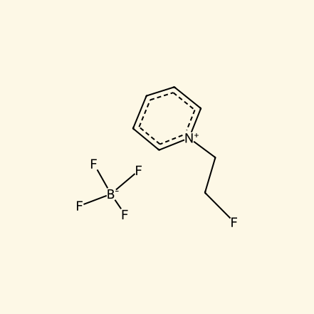 FCC[n+]1ccccc1.F[B-](F)(F)F